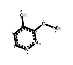 CCCCOc1nn[c]cc1O